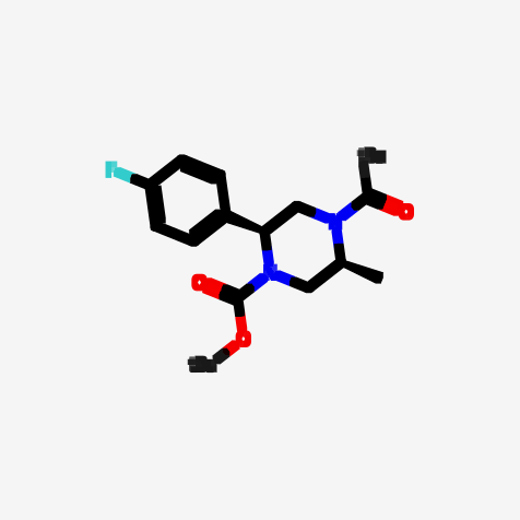 C[C@H]1CN(C(=O)OC(C)(C)C)[C@@H](c2ccc(F)cc2)CN1C(=O)C(C)(C)C